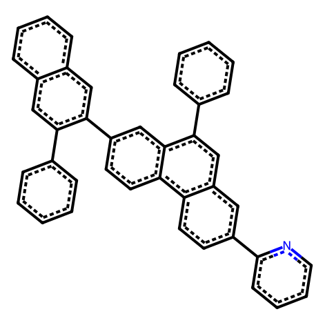 c1ccc(-c2cc3ccccc3cc2-c2ccc3c(c2)c(-c2ccccc2)cc2cc(-c4ccccn4)ccc23)cc1